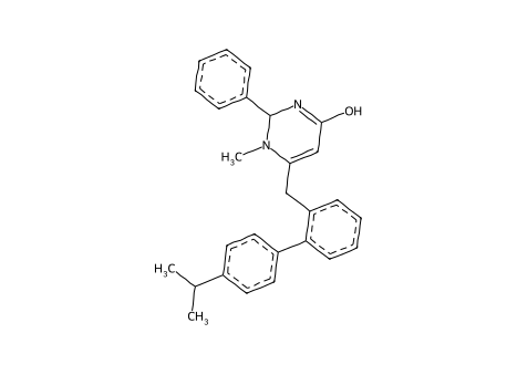 CC(C)c1ccc(-c2ccccc2CC2=CC(O)=NC(c3ccccc3)N2C)cc1